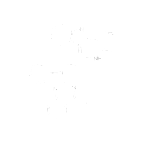 O=c1nc2n(CCCNc3ccccc3-c3nc4ccccc4[nH]3)c3ccccc3n2c2ccccc12